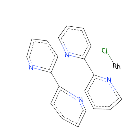 [Cl][Rh].c1ccc(-c2ccccn2)nc1.c1ccc(-c2ccccn2)nc1